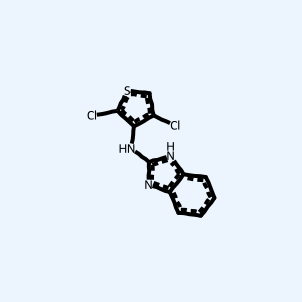 Clc1csc(Cl)c1Nc1nc2ccccc2[nH]1